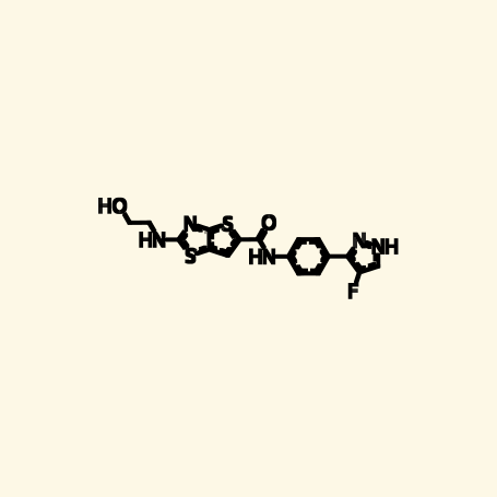 O=C(Nc1ccc(-c2n[nH]cc2F)cc1)c1cc2sc(NCCO)nc2s1